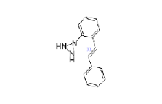 C(=C\c1ccccc1-n1[nH][nH]1)/c1ccccc1